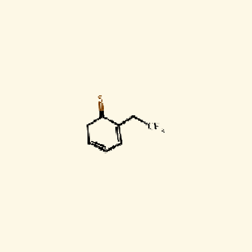 FC(F)(F)CC1=CC=CCC1=S